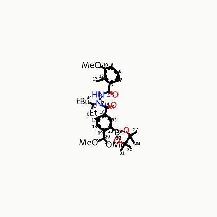 CCC(N(NC(=O)c1cccc(OC)c1C)C(=O)c1ccc(C(OC)OC)c(B2OC(C)(C)C(C)(C)O2)c1)C(C)(C)C